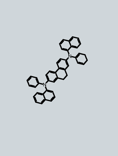 C1=CC(N(c2ccc3c(c2)CCc2cc(N(c4ccccc4)c4cccc5ccccc45)ccc2-3)c2cccc3ccccc23)=CCC1